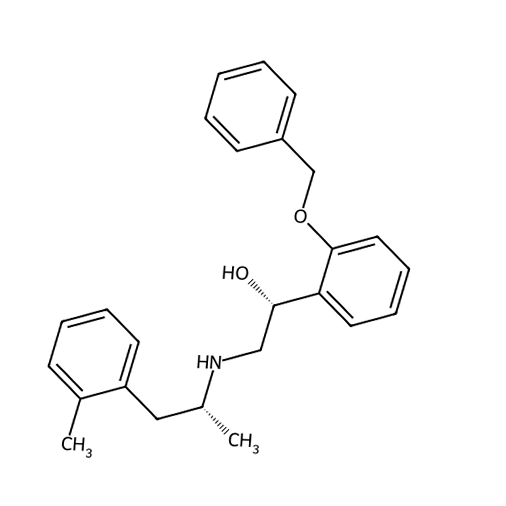 Cc1ccccc1C[C@@H](C)NC[C@H](O)c1ccccc1OCc1ccccc1